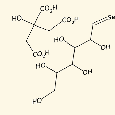 O=C(O)CC(O)(CC(=O)O)C(=O)O.OCC(O)C(O)C(O)C(O)C=[Se]